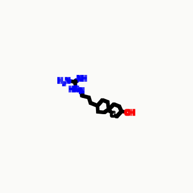 N=C(N)NN=CCCC1CCC2(CCC(O)CC2)CC1